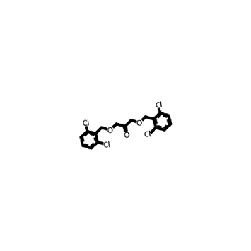 O=C(COCc1c(Cl)cccc1Cl)COCc1c(Cl)cccc1Cl